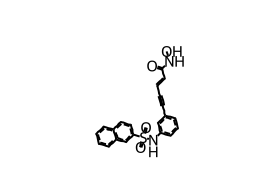 O=C(/C=C/C#Cc1cccc(NS(=O)(=O)c2ccc3ccccc3c2)c1)NO